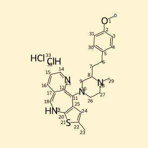 COc1ccc(CCC2CN(C3=c4ncccc4=CNc4sc(C)cc43)CCN2C)cc1.Cl.Cl